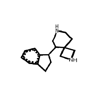 c1ccc2c(c1)CCC2C1CNCCC12CNC2